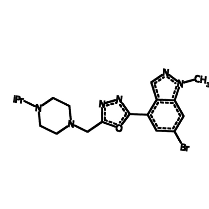 CC(C)N1CCN(Cc2nnc(-c3cc(Br)cc4c3cnn4C)o2)CC1